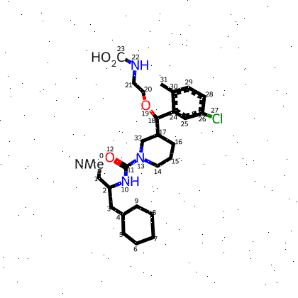 CNCC(CC1CCCCC1)NC(=O)N1CCCC(C(OCCNC(=O)O)c2cc(Cl)ccc2C)C1